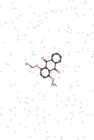 COc1ccc(OCBr)c2c1C(=O)c1ccccc1C2=O